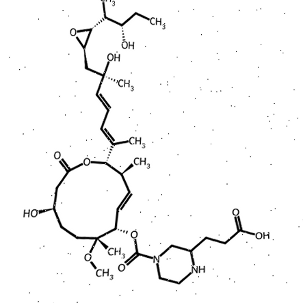 CC[C@H](O)C(C)[C@H]1O[C@@H]1C[C@@](C)(O)/C=C/C=C(\C)[C@H]1OC(=O)C[C@H](O)CC[C@@](C)(OC)[C@@H](OC(=O)N2CCNC(CCC(=O)O)C2)/C=C/[C@@H]1C